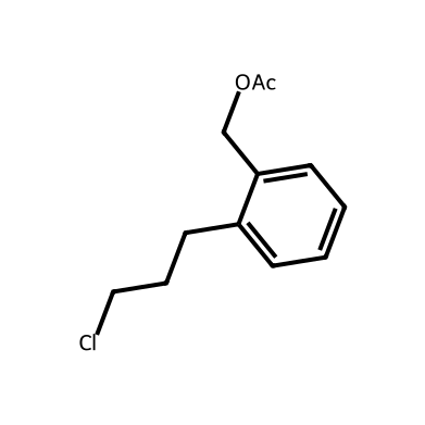 CC(=O)OCc1ccccc1CCCCl